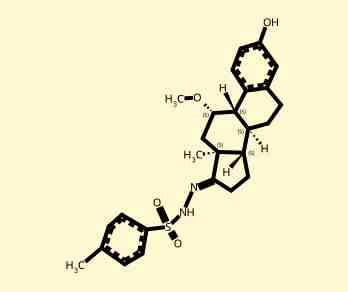 CO[C@H]1C[C@]2(C)C(=NNS(=O)(=O)c3ccc(C)cc3)CC[C@H]2[C@@H]2CCc3cc(O)ccc3[C@H]21